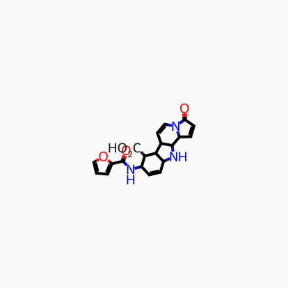 O=C(NC1C=CC2NC3C(C=CN4C(=O)C=CC34)C2C1C(=O)O)c1ccco1